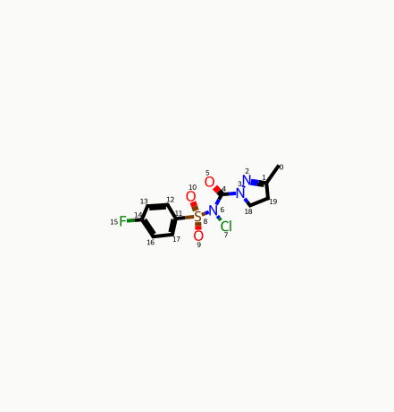 CC1=NN(C(=O)N(Cl)S(=O)(=O)c2ccc(F)cc2)CC1